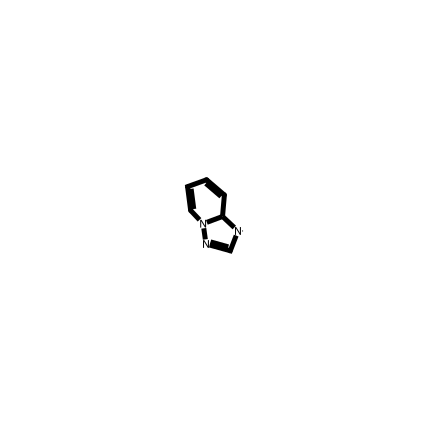 C1=CC2[N]C=NN2C=C1